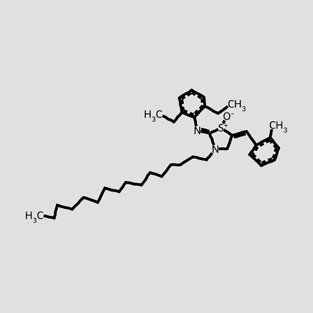 CCCCCCCCCCCCCCCCN1CC(=Cc2ccccc2C)[S+]([O-])C1=Nc1c(CC)cccc1CC